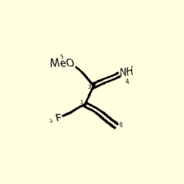 C=C(F)C(=N)OC